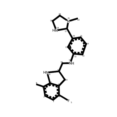 Cc1ccc(F)c2c1NC(CNc1cccc(C3NCCN3C)c1)C2